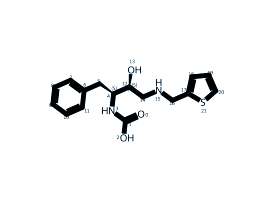 O=C(O)N[C@@H](Cc1ccccc1)[C@@H](O)CNCc1cccs1